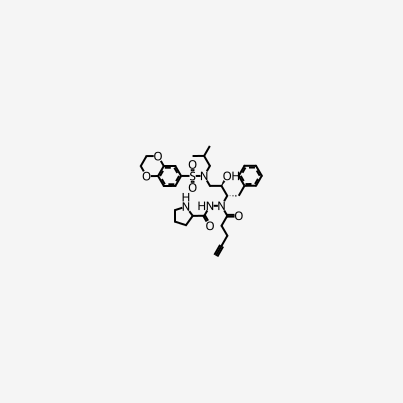 C#CCCC(=O)N(NC(=O)C1CCCN1)[C@@H](Cc1ccccc1)[C@H](O)CN(CC(C)C)S(=O)(=O)c1ccc2c(c1)OCCO2